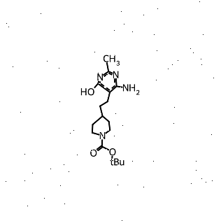 Cc1nc(N)c(CCC2CCN(C(=O)OC(C)(C)C)CC2)c(O)n1